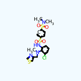 CN(Cc1cscn1)c1c(Cl)cccc1NS(=O)(=O)c1ccc(S(=O)(=O)N(C)C)cc1